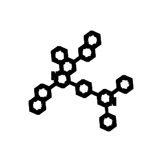 c1ccc(-c2cc(-c3ccc(-c4cc(-c5ccc6ccccc6c5)nc5c4cc(-c4ccc6ccccc6c4)c4ccccc45)cc3)cc(-c3ccccc3)n2)cc1